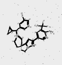 Nc1ncc(-c2cc3n(n2)CC[C@@]32CCN(C(c3cncc(F)c3)C3CC3)C2)cc1C(F)(F)F